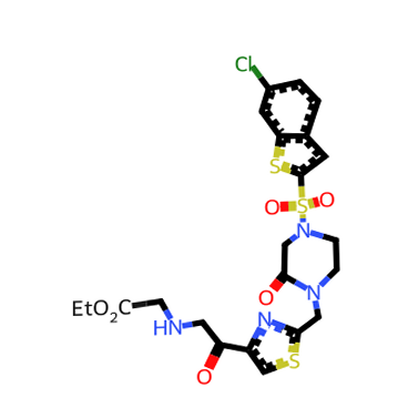 CCOC(=O)CNCC(=O)c1csc(CN2CCN(S(=O)(=O)c3cc4ccc(Cl)cc4s3)CC2=O)n1